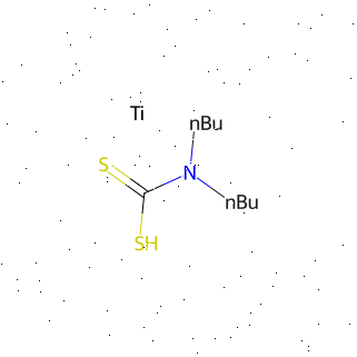 CCCCN(CCCC)C(=S)S.[Ti]